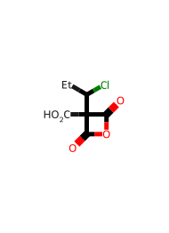 CCC(Cl)C1(C(=O)O)C(=O)OC1=O